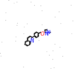 Cn1ccc(OCc2ccc(-c3ccc4ccccc4n3)cc2)n1